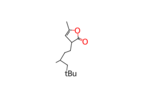 CC1=CC(CCC(C)CC(C)(C)C)C(=O)O1